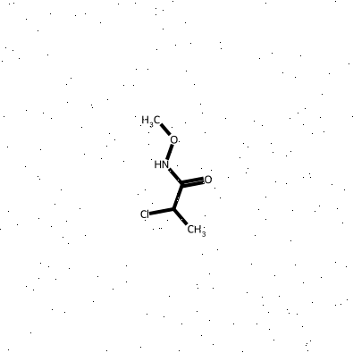 CONC(=O)C(C)Cl